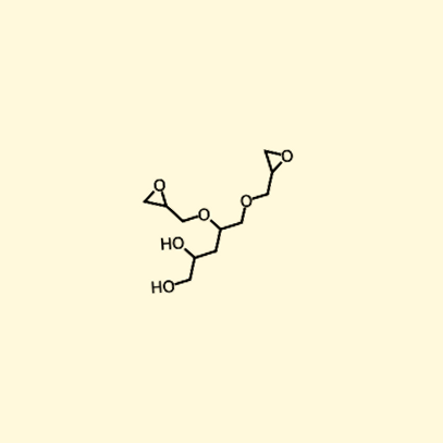 OCC(O)CC(COCC1CO1)OCC1CO1